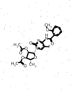 COc1ccccc1C(=O)Nc1nc(=O)n([C@@H]2O[C@H](C)[C@@H](OC(C)=O)[C@H]2OC(C)=O)cc1F